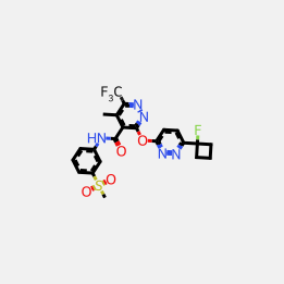 Cc1c(C(F)(F)F)nnc(Oc2ccc(C3(F)CCC3)nn2)c1C(=O)Nc1cccc(S(C)(=O)=O)c1